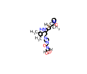 Cc1cc(C)cc(-c2[nH]c3sc(C(C)(C)C(=O)N4C5CCC4CC5)cc3c2CCN2CCN(CC(=O)N3C[C@@H]4OCO[C@@H]4C3)CC2)c1